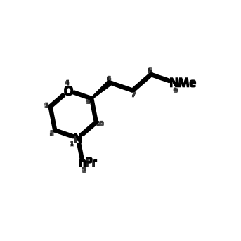 CCCN1CCO[C@@H](CCCNC)C1